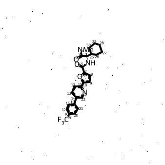 CNC(=O)[C@@H](NC(=O)c1ccc(-c2ccc(-c3ccc(C(F)(F)F)cc3)cn2)o1)C1CCCCC1